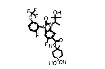 CC(n1c(=O)n(-c2cc(OC(F)(F)F)ccc2F)c2cc(F)c(C(=O)NC3(C)CCS(O)(O)CC3)cc21)C(C)(C)O